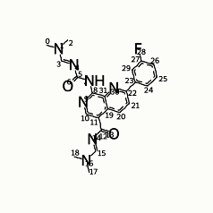 CN(C)/C=N/C(=O)Nc1ncc(C(=O)/N=C/N(C)C)c2ccc(-c3cccc(F)c3)nc12